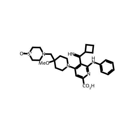 COC1(CN2CC[S+]([O-])CC2)CCN(c2cc(C(=O)O)nc(Nc3ccccc3)c2C(=N)C2CCC2)CC1